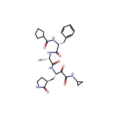 CCC[C@H](NC(=O)[C@@H](Cc1ccccc1)NC(=O)C1CCCC1)C(=O)N[C@@H](C[C@@H]1CCNC1=O)C(=O)C(=O)NC1CC1